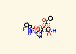 O=C(OCC(=O)[C@H](C[C@@H]1CCCNC1=O)NC(=O)[C@H](CC1CC1)NC(=O)c1cc2cccc(F)c2[nH]1)C(=O)c1ccccc1